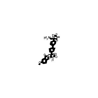 COc1ccc2c(c1)C(=O)N(C[C@@]1(c3ccc(-c4ccc(C5(CN)NC(=O)NC5=O)cc4)cc3)NC(=O)NC1=O)C2